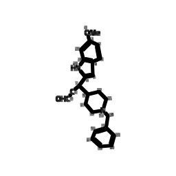 COc1ccc2cc(C(CC=O)C3CCN(Cc4ccccc4)CC3)[nH]c2c1